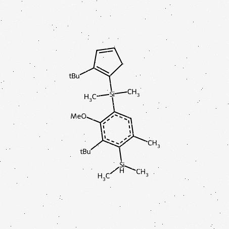 COc1c([Si](C)(C)C2=C(C(C)(C)C)C=CC2)cc(C)c([SiH](C)C)c1C(C)(C)C